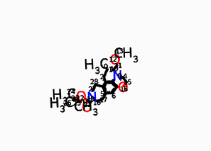 CCCc1c2c(cc3c1N(CCOC)CCO3)CCN(C(=O)OC(C)(C)C)CC2